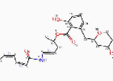 CC/C=C\C=C/C(=O)N/C=C/CC(C)OC(=O)c1c(O)cccc1CC1CC(O)CCO1